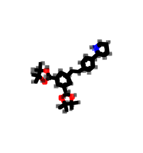 CC1(C)OB(c2cc(CCc3ccc(-c4ccccn4)cc3)cc(B3OC(C)(C)C(C)(C)O3)c2)OC1(C)C